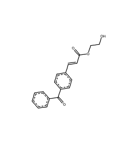 O=C(C=Cc1ccc(C(=O)c2ccccc2)cc1)OCCO